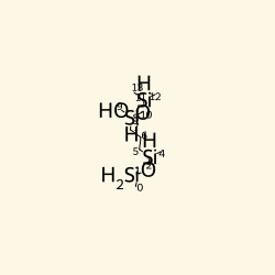 C[SiH2]O[SiH](C)CCC[SiH](O)O[SiH](C)C